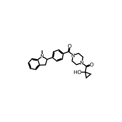 CN1c2ccccc2CC1c1ccc(C(=O)N2CCN(C(=O)C3(O)CC3)CC2)cc1